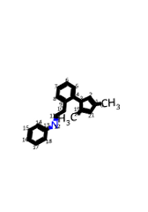 CC1=CC(c2ccccc2CC=Nc2ccccc2)C(C)=C1